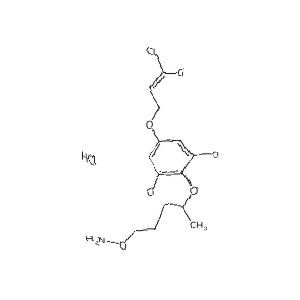 CC(CCCON)Oc1c(Cl)cc(OCC=C(Cl)Cl)cc1Cl.Cl